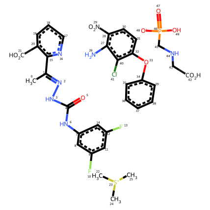 C/C(=N\NC(=O)Nc1cc(F)cc(F)c1)c1ncccc1C(=O)O.C[S+](C)C.Nc1c([N+](=O)[O-])ccc(Oc2ccccc2)c1Cl.O=C(O)CNCP(=O)([O-])O